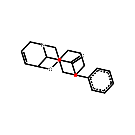 O=C(Cc1ccccc1)N1CN2CC=CC(O1)C2C1CCCCC1